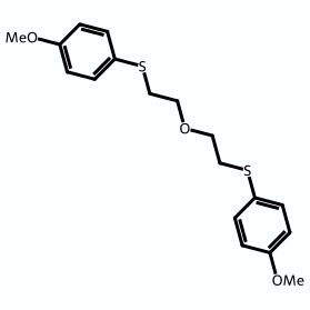 COc1ccc(SCCOCCSc2ccc(OC)cc2)cc1